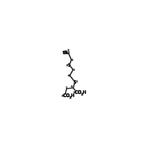 CC(C)(C)CSCCSC(CC(=O)O)C(=O)O